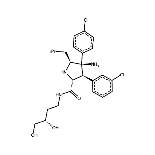 CC(C)C[C@@H]1N[C@@H](C(=O)NCC[C@H](O)CO)[C@H](c2cccc(Cl)c2)[C@@]1(N)c1ccc(Cl)cc1